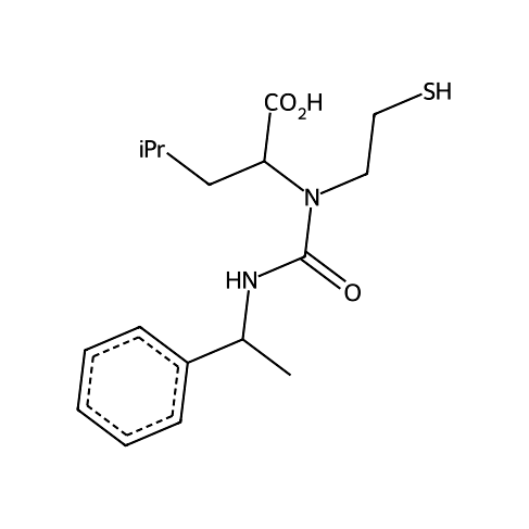 CC(C)CC(C(=O)O)N(CCS)C(=O)NC(C)c1ccccc1